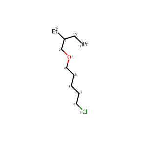 CCC(COCCCCCCl)CC(C)C